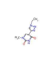 CCn1cc(-c2cn(C)c(=O)[nH]c2=O)nn1